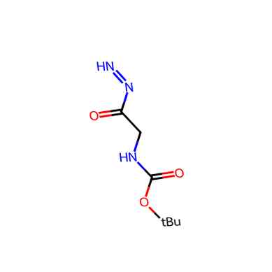 CC(C)(C)OC(=O)NCC(=O)N=N